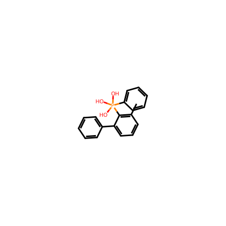 Cc1cccc(-c2ccccc2)c1P(O)(O)(O)c1ccccc1